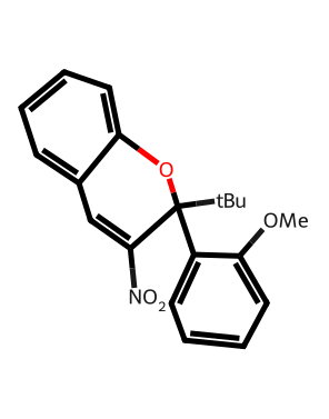 COc1ccccc1C1(C(C)(C)C)Oc2ccccc2C=C1[N+](=O)[O-]